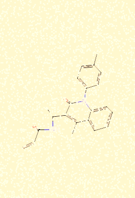 C=CC(=O)N[C@@H](C)c1c(C)c2ccccc2n(-c2ccc(C(F)(F)F)cc2)c1=O